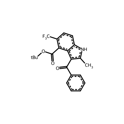 Cc1[nH]c2ccc(C(F)(F)F)c(C(=O)OC(C)(C)C)c2c1C(=O)c1ccccc1